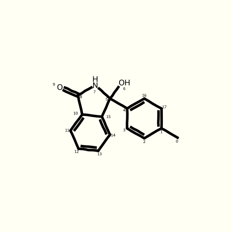 Cc1ccc(C2(O)NC(=O)c3ccccc32)cc1